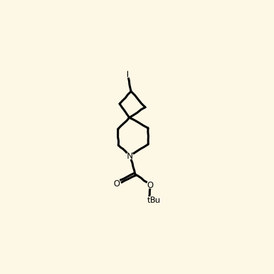 CC(C)(C)OC(=O)N1CCC2(CC1)CC(I)C2